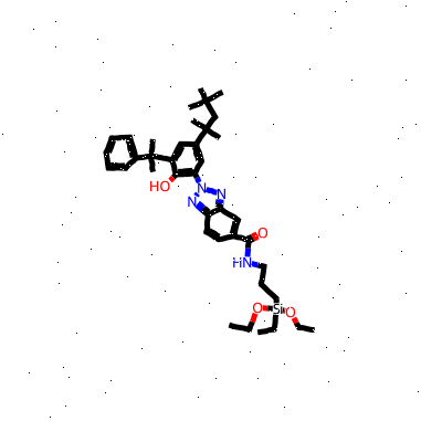 CCO[Si](CC)(CCCNC(=O)c1ccc2nn(-c3cc(C(C)(C)CC(C)(C)C)cc(C(C)(C)c4ccccc4)c3O)nc2c1)OCC